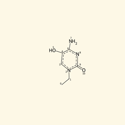 CCn1cc(O)c(N)nc1=O